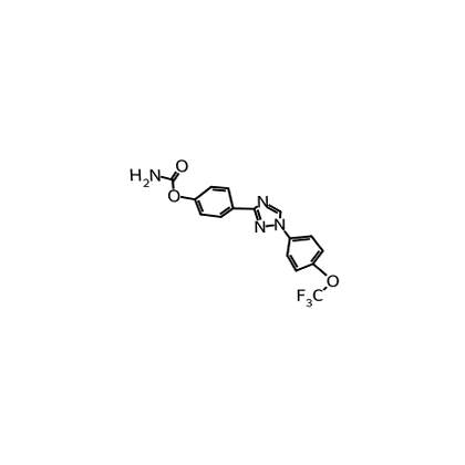 NC(=O)Oc1ccc(-c2ncn(-c3ccc(OC(F)(F)F)cc3)n2)cc1